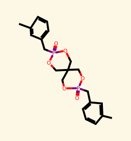 Cc1cccc(CP2(=O)OCC3(CO2)COP(=O)(Cc2cccc(C)c2)OC3)c1